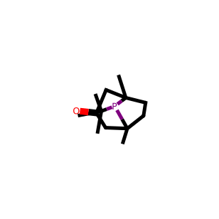 CC(C)(C)P1C2(C)CCC1(C)CC(=O)C2